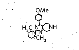 COC1=CC=C(c2nc(N3[C@H](C)CCC[C@@H]3C)nc3c2CCNCC3)CC1